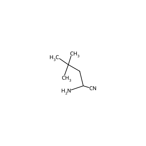 CC(C)(C)CC(N)C#N